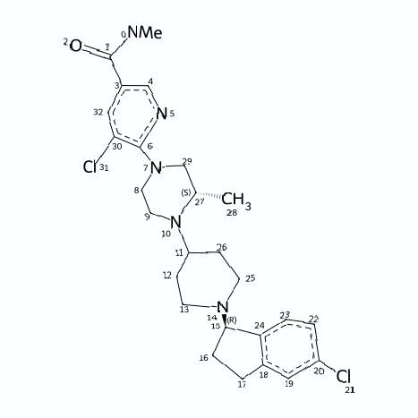 CNC(=O)c1cnc(N2CCN(C3CCN([C@@H]4CCc5cc(Cl)ccc54)CC3)[C@@H](C)C2)c(Cl)c1